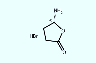 Br.N[C@H]1CCC(=O)O1